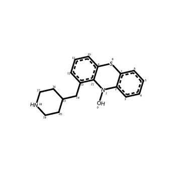 ON1c2ccccc2Sc2cccc(CC3CCNCC3)c21